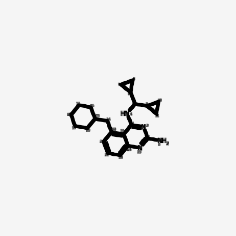 Nc1nc(NC(C2CC2)C2CC2)c2c(CC3CCCCC3)cccc2n1